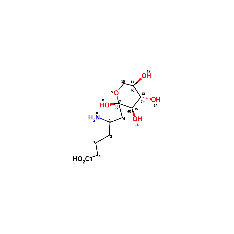 NC(CCCC(=O)O)C[C@]1(O)OC[C@@H](O)[C@H](O)[C@H]1O